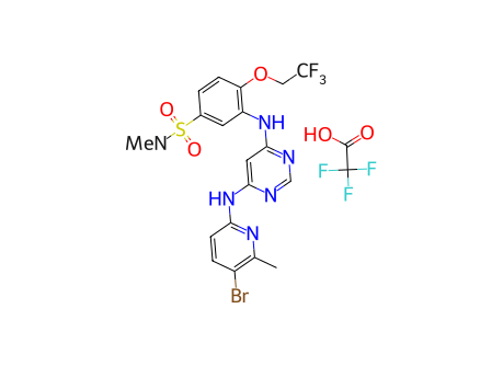 CNS(=O)(=O)c1ccc(OCC(F)(F)F)c(Nc2cc(Nc3ccc(Br)c(C)n3)ncn2)c1.O=C(O)C(F)(F)F